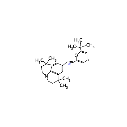 CC(C)(C)C1=C[C]C=C(/C=C/c2cc3c4c(c2)C(C)(C)CCN4CCC3(C)C)O1